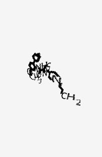 C=CCCCN1CCC(c2nc(C(=O)Nc3cc(OC)ccc3-c3ccccc3)cs2)CC1